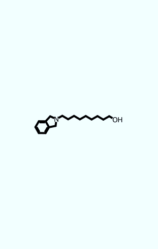 OCCCCCCCCCN1Cc2ccccc2C1